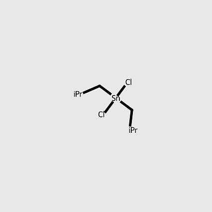 CC(C)[CH2][Sn]([Cl])([Cl])[CH2]C(C)C